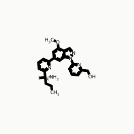 CCC[C@@](N)(I)c1cccc(-c2cc(OC)c3cnn(-c4cccc(CO)n4)c3c2)n1